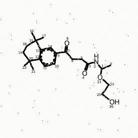 CC(NC(=O)CCC(=O)c1ccc2c(c1)C(C)(C)CCC2(C)C)OCCO